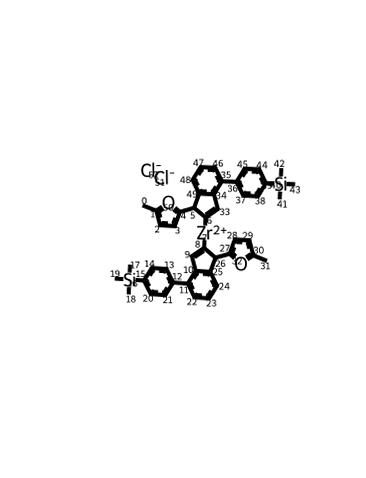 Cc1ccc(C2[C]([Zr+2][C]3=Cc4c(-c5ccc([Si](C)(C)C)cc5)cccc4C3c3ccc(C)o3)=Cc3c(-c4ccc([Si](C)(C)C)cc4)cccc32)o1.[Cl-].[Cl-]